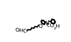 O=CCCCCCCCCOc1cccc(N(Cc2ccccc2)C(=O)O)c1